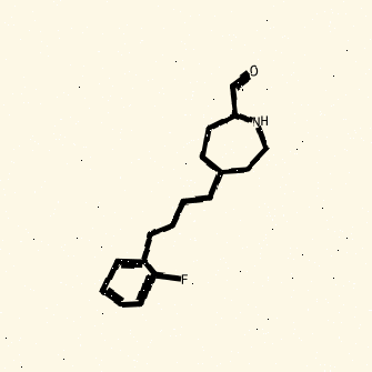 O=CC1CCC(CCCCc2ccccc2F)CCN1